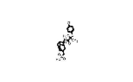 CC(C)(Oc1ccc(Cl)cc1)C(=O)NC1C2CC3CC1CC(CS(=O)(=O)O)(C3)C2